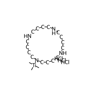 Cl.Cl.Cl.[CH3][Ti]([CH3])([CH3])[N]1CCCCNCCCCNCCCCNCCCC1